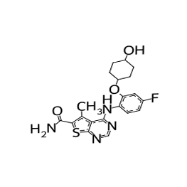 Cc1c(C(N)=O)sc2ncnc(Nc3ccc(F)cc3OC3CCC(O)CC3)c12